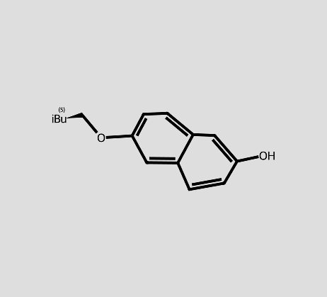 CC[C@H](C)COc1ccc2cc(O)ccc2c1